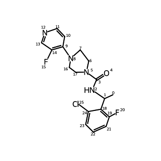 CC(NC(=O)N1CCN(c2ccncc2F)CC1)c1c(F)cccc1Cl